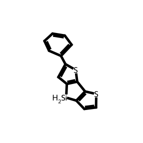 c1ccc(-c2cc3c(s2)-c2sccc2[SiH2]3)cc1